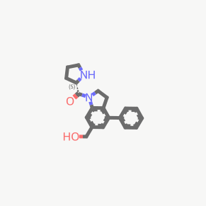 O=C([C@@H]1CCCN1)N1CCc2c(-c3ccccc3)cc(CO)cc21